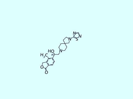 Cc1c([C@@H](O)CN2CCC3(CC2)CCN(c2ncns2)C3)ccc2c1COC2=O